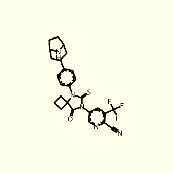 N#Cc1ncc(N2C(=O)C3(CCC3)N(c3ccc(C4CC5CCC(C4)N5)cc3)C2=S)cc1C(F)(F)F